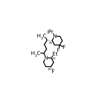 CC[C@H]1C[C@H](F)CCN1C(C)CCC(C)[C@H]1CC(F)(F)CCN1C(C)C